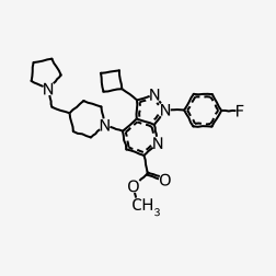 COC(=O)c1cc(N2CCC(CN3CCCC3)CC2)c2c(C3CCC3)nn(-c3ccc(F)cc3)c2n1